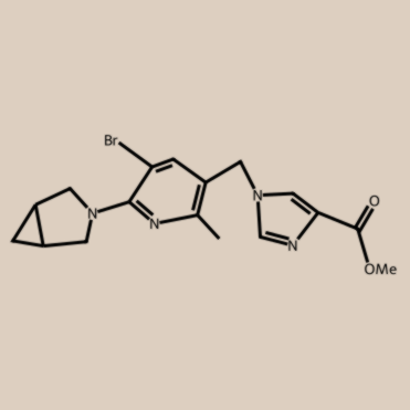 COC(=O)c1cn(Cc2cc(Br)c(N3CC4CC4C3)nc2C)cn1